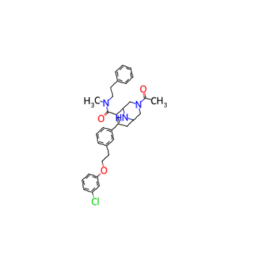 CC(=O)N1CC2CC(c3cccc(CCOc4cccc(Cl)c4)c3)=C(C(=O)N(C)CCc3ccccc3)C(C1)N2